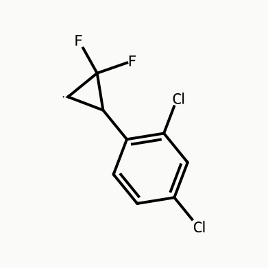 FC1(F)[CH]C1c1ccc(Cl)cc1Cl